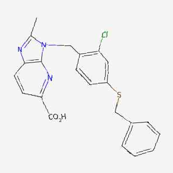 Cc1nc2ccc(C(=O)O)nc2n1Cc1ccc(SCc2ccccc2)cc1Cl